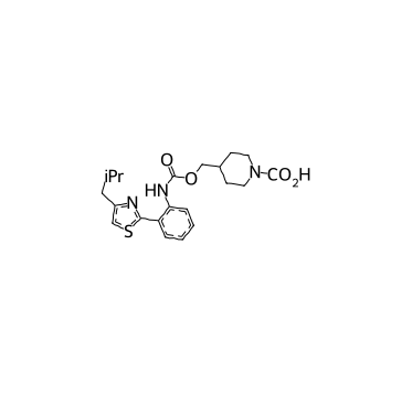 CC(C)Cc1csc(-c2ccccc2NC(=O)OCC2CCN(C(=O)O)CC2)n1